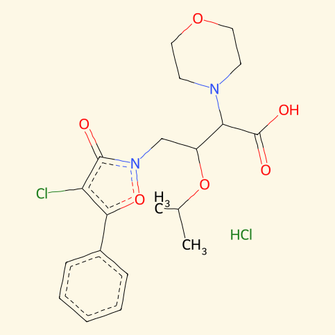 CC(C)OC(Cn1oc(-c2ccccc2)c(Cl)c1=O)C(C(=O)O)N1CCOCC1.Cl